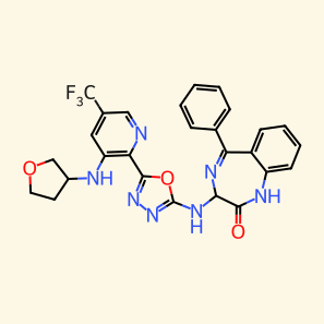 O=C1Nc2ccccc2C(c2ccccc2)=NC1Nc1nnc(-c2ncc(C(F)(F)F)cc2NC2CCOC2)o1